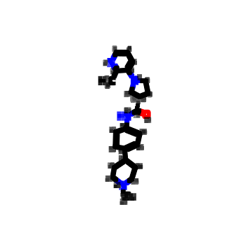 Cc1ncccc1N1CC[C@H](C(=O)Nc2ccc(C3CCN(C(C)(C)C)CC3)cc2)C1